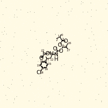 CC(C)C(=O)OC(OC(=O)NCC[C@@H](c1ccc(Cl)cc1)P(C)(=O)O)C(C)C